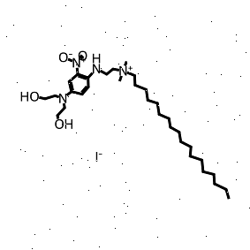 CCCCCCCCCCCCCCCCCC[N+](C)(C)CCNc1ccc(N(CCO)CCO)cc1[N+](=O)[O-].[I-]